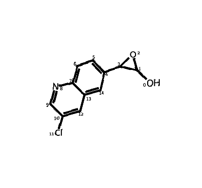 OC1OC1c1ccc2ncc(Cl)cc2c1